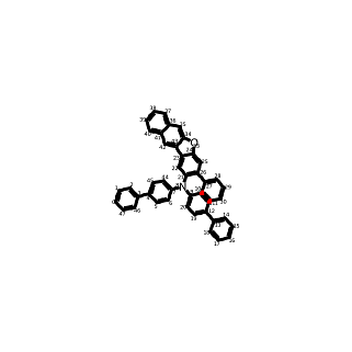 c1ccc(-c2ccc(N(c3ccc(-c4ccccc4)cc3)c3cc4c(cc3-c3ccccc3)oc3cc5ccccc5cc34)cc2)cc1